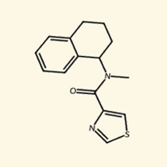 CN(C(=O)c1cscn1)C1CCCc2ccccc21